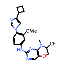 COc1cc(Nc2ncc3c(n2)N(C)C(C(F)(F)F)CO3)ccc1-n1cnc(C2CCC2)c1